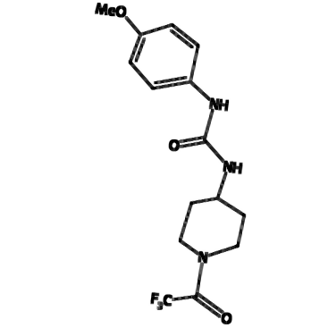 COc1ccc(NC(=O)NC2CCN(C(=O)C(F)(F)F)CC2)cc1